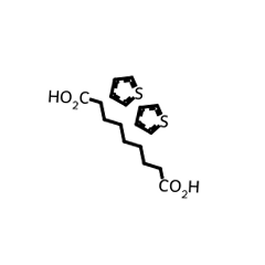 O=C(O)CCCCCCCC(=O)O.c1ccsc1.c1ccsc1